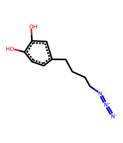 [N-]=[N+]=NCCCCc1ccc(O)c(O)c1